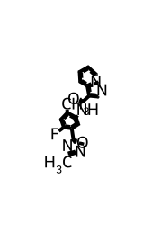 Cc1noc(-c2cc(NC(=O)c3cnn4ccccc34)c(C)cc2F)n1